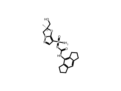 C[C@@]1(CO)Cn2ncc(S(N)(=O)=NC(=O)Nc3c4c(cc5c3CCC5)CCC4)c2O1